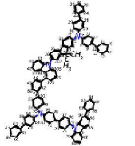 CC1(C)c2cc(N(c3ccc(-c4ccccc4)cc3)c3ccc(-c4ccccc4)cc3)ccc2-c2ccc(-n3c4ccccc4c4c(-c5cccc(-c6ccc(N(c7ccc(-c8ccccc8)cc7)c7ccc(-c8ccc(-n9c%10ccccc%10c%10ccc(-c%11ccccc%11)cc%109)cc8)cc7)cc6)c5)cccc43)cc21